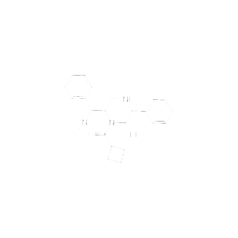 CCC(C(N)c1ccccc1)N(C(=O)C1CCC1)C(CC)C(N)c1ccccc1